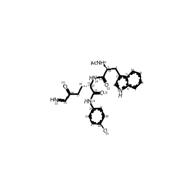 CC(=O)N[C@@H](Cc1c[nH]c2ccccc12)C(=O)N[C@@H](CCC(=O)C=N)C(=O)Nc1ccc(Cl)cc1